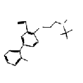 Cc1ccccc1-c1ccc(OCCN(C)C(C)(C)C)c(C=O)c1